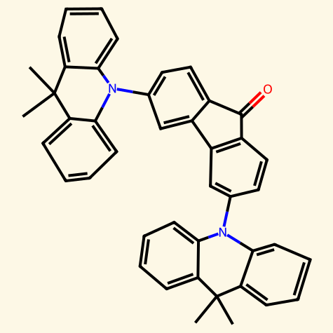 CC1(C)c2ccccc2N(c2ccc3c(c2)-c2cc(N4c5ccccc5C(C)(C)c5ccccc54)ccc2C3=O)c2ccccc21